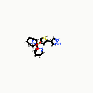 O=C(c1csc(-c2cn[nH]c2)c1)N1C2CCC1CC(F)(c1ccccn1)C2